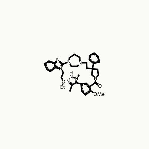 CCOCCn1c(N2CCCN(CCC3(c4ccccc4)CCN(C(=O)c4cc(C5C(C)=NNN5C)ccc4OC)C3)CC2)nc2ccccc21